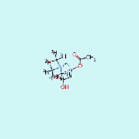 [2H]C([2H])([2H])[N+](C[C@@H](CC(=O)O)OC(C)=O)(C([2H])([2H])[2H])C([2H])([2H])[2H]